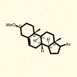 CO[C@H]1CC[C@@]2(C)C(=CC[C@@H]3[C@@H]2CC[C@]2(C)C(C(C)=O)CC[C@@H]32)C1